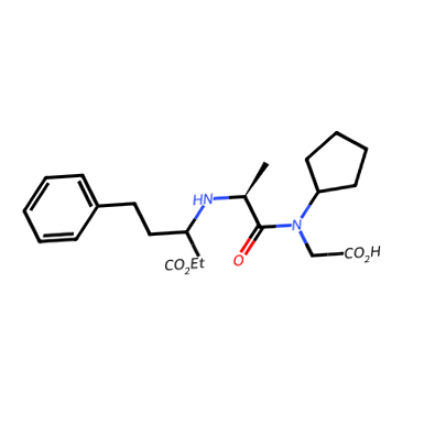 CCOC(=O)C(CCc1ccccc1)N[C@@H](C)C(=O)N(CC(=O)O)C1CCCC1